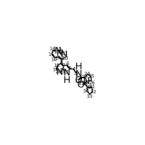 O=C(NCCc1cc2c(-c3cnn4ncccc34)ccnc2[nH]1)C1CCCN1C(=O)C1=CCCC1